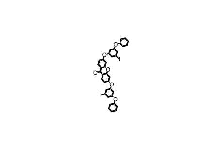 O=c1c2ccc(Oc3cc(I)cc(Oc4ccccc4)c3)cc2oc2cc(Oc3cc(I)cc(Oc4ccccc4)c3)ccc12